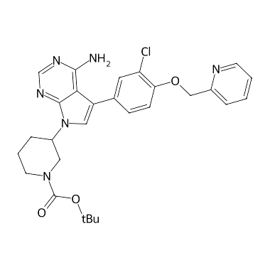 CC(C)(C)OC(=O)N1CCCC(n2cc(-c3ccc(OCc4ccccn4)c(Cl)c3)c3c(N)ncnc32)C1